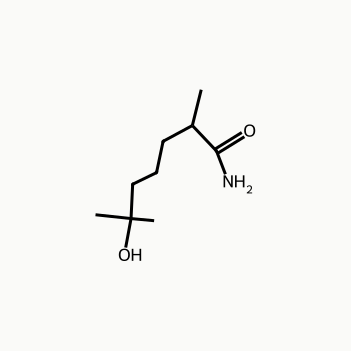 CC(CCCC(C)(C)O)C(N)=O